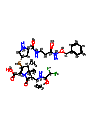 C[C@@H](NC(=O)C(F)F)[C@H]1C(=O)N2C(C(=O)O)=C(S[C@@H]3CN[C@H](C(=O)NCCC(=O)NOCc4ccccc4)C3)[C@H](C)[C@H]12